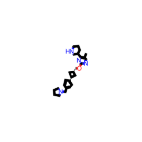 Cc1cnc(OC[C@H]2C[C@@H](c3ccc(CN4CCCC4)cc3)C2)nc1C1CCCNC1